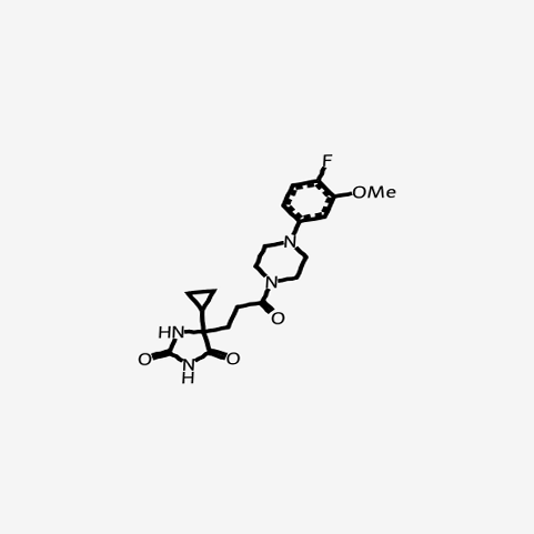 COc1cc(N2CCN(C(=O)CCC3(C4CC4)NC(=O)NC3=O)CC2)ccc1F